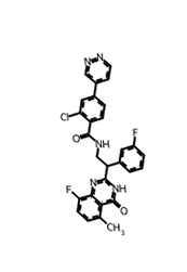 Cc1ccc(F)c2nc(C(CNC(=O)c3ccc(-c4ccnnc4)cc3Cl)c3cccc(F)c3)[nH]c(=O)c12